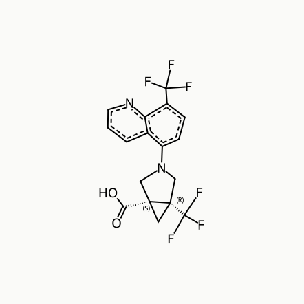 O=C(O)[C@]12CN(c3ccc(C(F)(F)F)c4ncccc34)C[C@@]1(C(F)(F)F)C2